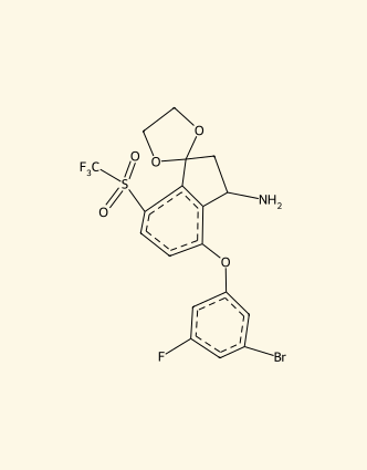 NC1CC2(OCCO2)c2c(S(=O)(=O)C(F)(F)F)ccc(Oc3cc(F)cc(Br)c3)c21